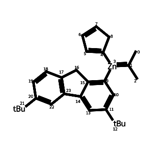 C[C](C)=[Zn]([C]1=CC=CC1)[c]1cc(C(C)(C)C)cc2c1Cc1ccc(C(C)(C)C)cc1-2